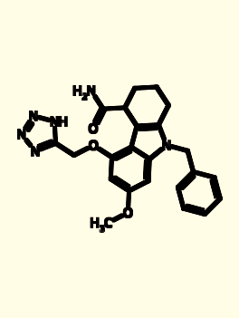 COc1cc(OCc2nnn[nH]2)c2c3c(n(Cc4ccccc4)c2c1)CCCC3C(N)=O